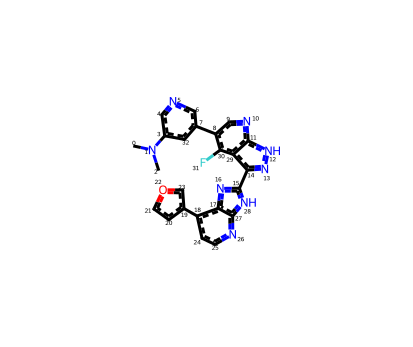 CN(C)c1cncc(-c2cnc3[nH]nc(-c4nc5c(-c6ccoc6)ccnc5[nH]4)c3c2F)c1